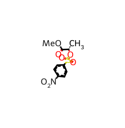 COC(=O)[C@H](C)OS(=O)(=O)c1ccc([N+](=O)[O-])cc1